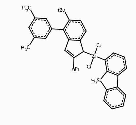 CCCC1=Cc2c(ccc(C(C)(C)C)c2-c2cc(C)cc(C)c2)[CH]1[Zr]([Cl])([Cl])[c]1cccc2c1[SiH2]c1ccccc1-2